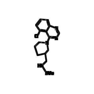 CSNCC1CCCN(c2ncnc3cccc(Cl)c23)C1